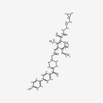 C=CC(=N)C(=C\NCC1CCN(C(=O)c2ccc(-c3ccc(F)cc3)cc2)CC1)/C(C)=C(\C)C(=O)NCCOCC1CC1